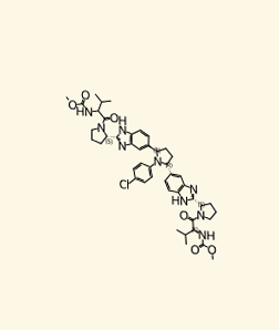 COC(=O)NC(C(=O)N1CCC[C@H]1c1nc2cc([C@H]3CC[C@H](c4ccc5[nH]c([C@@H]6CCCN6C(=O)[C@@H](NC(=O)OC)C(C)C)nc5c4)N3c3ccc(Cl)cc3)ccc2[nH]1)C(C)C